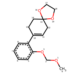 COCOc1ccccc1C1=CCC2(CC1)OCCO2